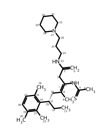 C=C(C/C(NC(C)=S)=C(/C)C[C@H](CC)c1c(C)ccc(C)c1C)NCCCN1CCCCC1